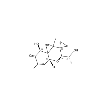 CC1=C[C@H]2O[C@H]([C@@H](C)O)[C@@]3(CO3)C(C)(C)C2(O)[C@H](O)C1=O